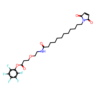 O=C(CCCCCCCCCCCN1C(=O)C=CC1=O)NCCOCCC(=O)Oc1c(F)c(F)c(F)c(F)c1F